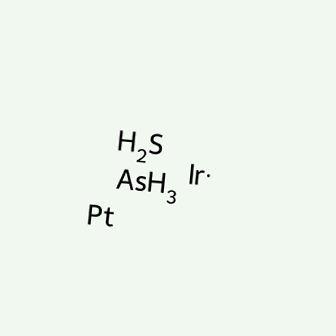 S.[AsH3].[Ir].[Pt]